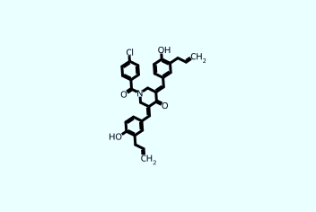 C=CCc1cc(/C=C2\CN(C(=O)c3ccc(Cl)cc3)C/C(=C\c3ccc(O)c(CC=C)c3)C2=O)ccc1O